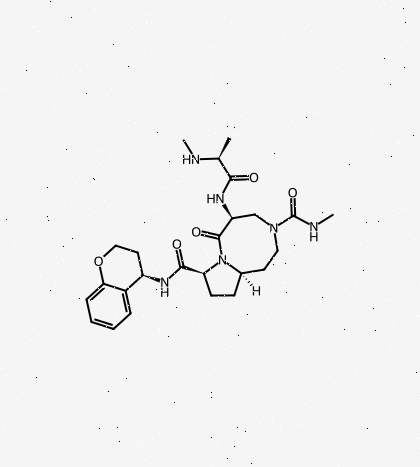 CNC(=O)N1CC[C@H]2CC[C@@H](C(=O)N[C@@H]3CCOc4ccccc43)N2C(=O)[C@@H](NC(=O)[C@H](C)NC)C1